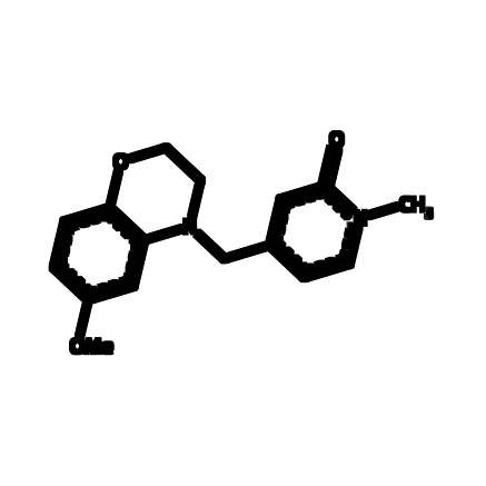 COc1ccc2c(c1)N(Cc1ccn(C)c(=O)c1)CCO2